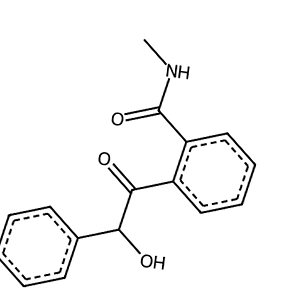 CNC(=O)c1ccccc1C(=O)C(O)c1ccccc1